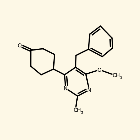 COc1nc(C)nc(C2CCC(=O)CC2)c1Cc1ccccc1